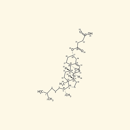 CC(C)CCC[C@@H](C)[C@H]1CC[C@H]2[C@@H]3CC=C4C[C@@H](OC(=O)CCC(=O)O)CC[C@]4(C)[C@H]3CCC12C